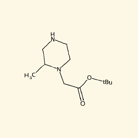 CC1CNCCN1CC(=O)OC(C)(C)C